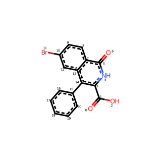 O=C(O)c1[nH]c(=O)c2ccc(Br)cc2c1-c1ccccc1